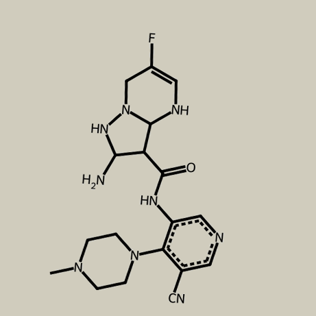 CN1CCN(c2c(C#N)cncc2NC(=O)C2C(N)NN3CC(F)=CNC23)CC1